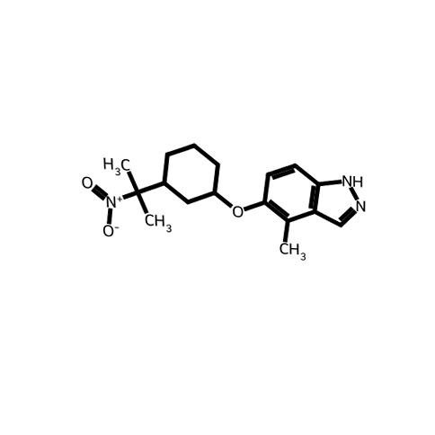 Cc1c(OC2CCCC(C(C)(C)[N+](=O)[O-])C2)ccc2[nH]ncc12